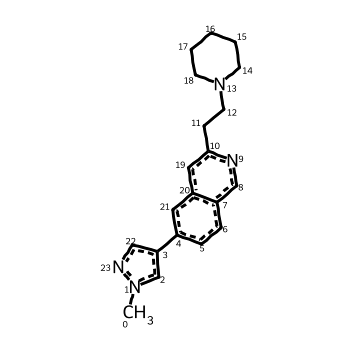 Cn1cc(-c2ccc3cnc(CCN4CCCCC4)cc3c2)cn1